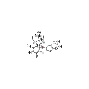 [2H]c1c([2H])c([C@@H]2CCNC([2H])([2H])C2([2H])C([2H])([2H])Oc2ccc3c(c2)OC([2H])([2H])O3)c([2H])c([2H])c1F